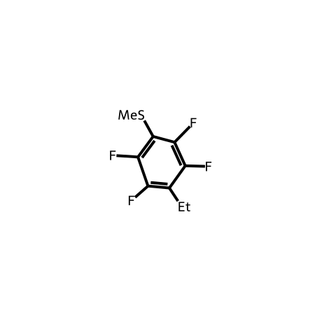 [CH2]Cc1c(F)c(F)c(SC)c(F)c1F